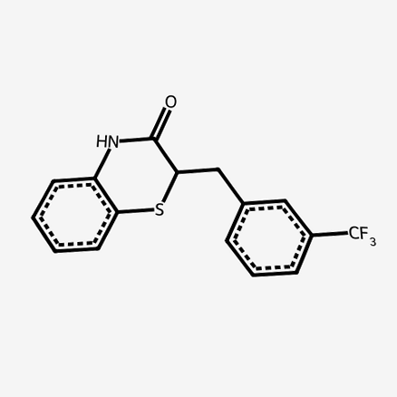 O=C1Nc2ccccc2SC1Cc1cccc(C(F)(F)F)c1